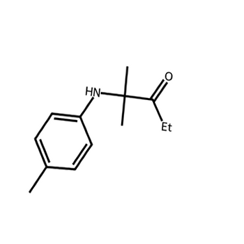 CCC(=O)C(C)(C)Nc1ccc(C)cc1